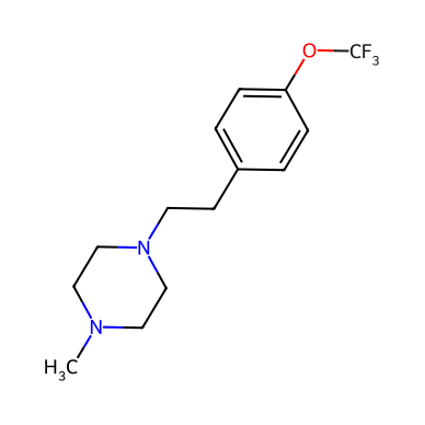 CN1CCN(CCc2ccc(OC(F)(F)F)cc2)CC1